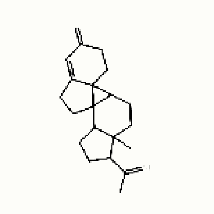 CC(=N)C1CCC2C1(C)CCC1C34CCC(=O)C=C3CCC214